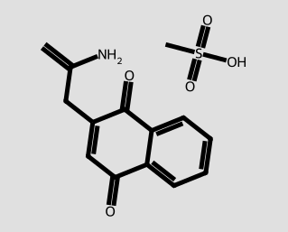 C=C(N)CC1=CC(=O)c2ccccc2C1=O.CS(=O)(=O)O